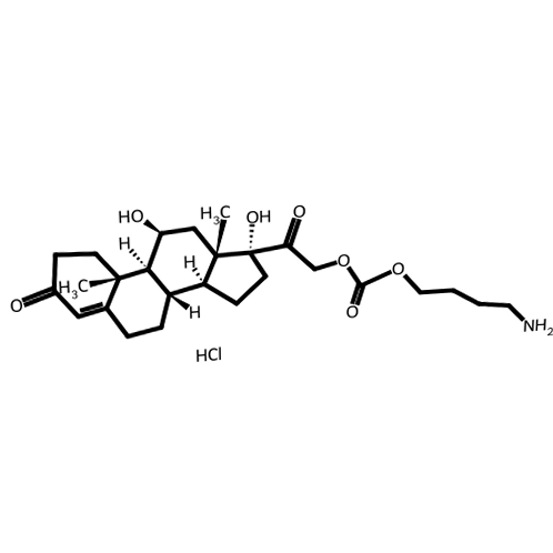 C[C@]12CCC(=O)C=C1CC[C@@H]1[C@@H]2[C@@H](O)C[C@@]2(C)[C@H]1CC[C@]2(O)C(=O)COC(=O)OCCCCN.Cl